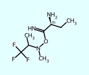 CC[C@H](N)C(=N)ON(C)C(C)C(F)(F)F